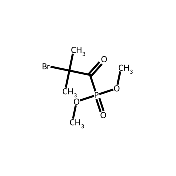 COP(=O)(OC)C(=O)C(C)(C)Br